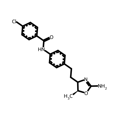 C[C@@H]1OC(N)=NC1CCc1ccc(NC(=O)c2ccc(Cl)cc2)cc1